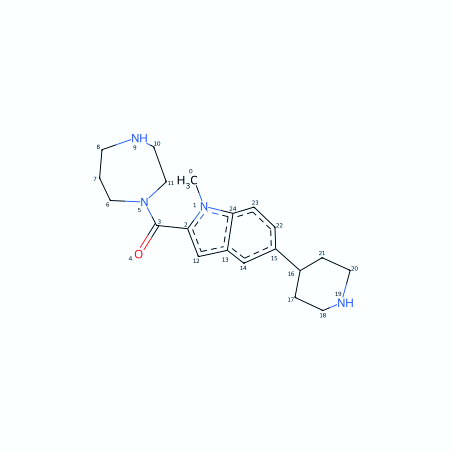 Cn1c(C(=O)N2CCCNCC2)cc2cc(C3CCNCC3)ccc21